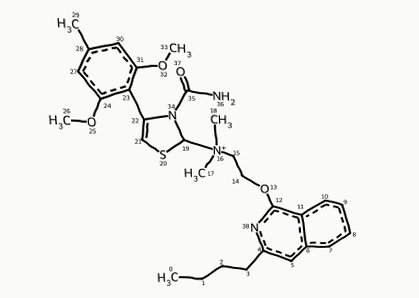 CCCCc1cc2ccccc2c(OCC[N+](C)(C)C2SC=C(c3c(OC)cc(C)cc3OC)N2C(N)=O)n1